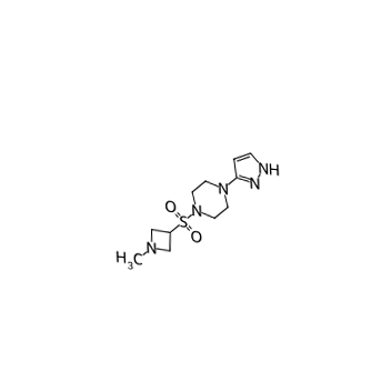 CN1CC(S(=O)(=O)N2CCN(c3cc[nH]n3)CC2)C1